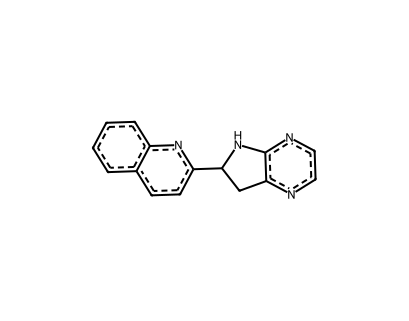 c1ccc2nc(C3Cc4nccnc4N3)ccc2c1